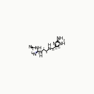 C/N=C(\NC#N)NCCNCc1c[nH]c(N)n1